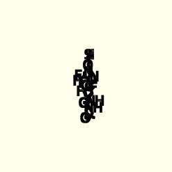 CC1(C)COC1CNC(=O)Nc1cc(F)c(Oc2ccnc3c2c(C(F)(F)F)cn3COCC[Si](C)(C)C)c(F)c1